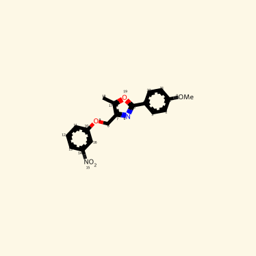 COc1ccc(-c2nc(COc3cccc([N+](=O)[O-])c3)c(C)o2)cc1